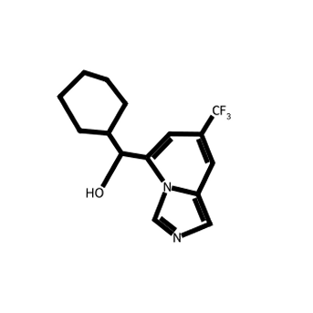 OC(c1cc(C(F)(F)F)cc2cncn12)C1CCCCC1